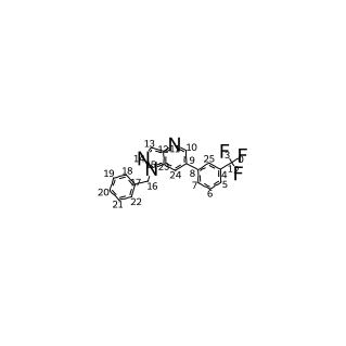 FC(F)(F)c1cccc(-c2cnc3cnn(Cc4ccccc4)c3c2)c1